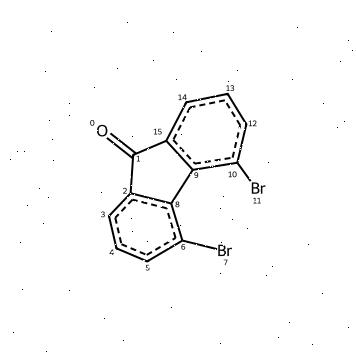 O=C1c2cccc(Br)c2-c2c(Br)cccc21